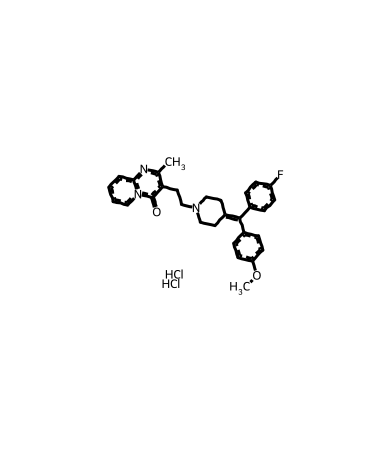 COc1ccc(C(=C2CCN(CCc3c(C)nc4ccccn4c3=O)CC2)c2ccc(F)cc2)cc1.Cl.Cl